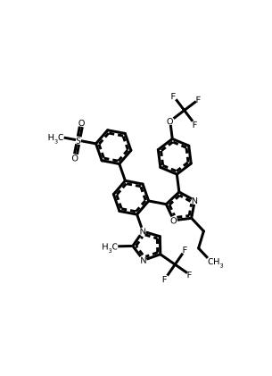 CCCc1nc(-c2ccc(OC(F)(F)F)cc2)c(-c2cc(-c3cccc(S(C)(=O)=O)c3)ccc2-n2cc(C(F)(F)F)nc2C)o1